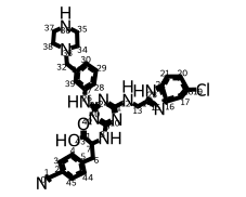 N#Cc1ccc(CC(Nc2nc(NCc3nc4cc(Cl)ccc4[nH]3)nc(Nc3cccc(CN4CCNCC4)c3)n2)C(=O)O)cc1